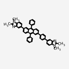 Cc1nc2cc(-c3ccc(-c4ccc5c(-c6ccccc6)c6cc(-c7ccc8c(c7)nc(C)n8C)ccc6c(-c6ccccc6)c5c4)cc3)ccc2n1C